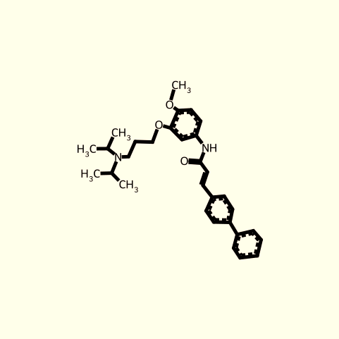 COc1ccc(NC(=O)C=Cc2ccc(-c3ccccc3)cc2)cc1OCCCN(C(C)C)C(C)C